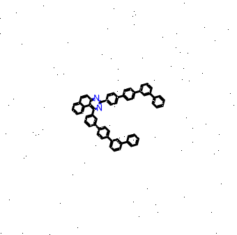 c1ccc(-c2cccc(-c3ccc(-c4ccc(-c5nc(-c6cccc(-c7ccc(-c8cccc(-c9ccccc9)c8)cc7)c6)c6c(ccc7ccccc76)n5)cc4)cc3)c2)cc1